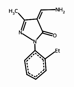 CCc1ccccc1N1N=C(C)C(=CN)C1=O